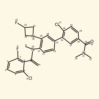 C=C(c1c(F)cccc1Cl)N(C)c1ccc(-c2cc(C(=O)N(C)C)ccc2Cl)cc1N1CC(F)C1